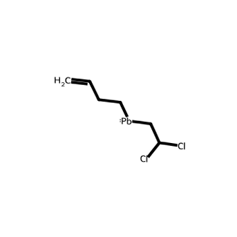 C=CC[CH2][Pb][CH2]C(Cl)Cl